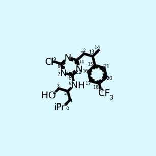 CC(C)CC(CO)Nc1nc(Cl)nc(CC(C)c2ccc(C(F)(F)F)cc2)n1